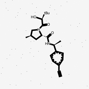 C#Cc1ccc([C@H](C)NC(=O)[C@@H]2C[C@@H](C)CN2C(=O)[C@@H](O)C(C)(C)C)cc1